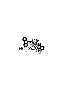 O=C(NC(c1nc2cccc(Cl)c2c(=O)n1N1CCN(C(=O)O)CC1)C1CC1)OCC1c2ccccc2-c2ccccc21